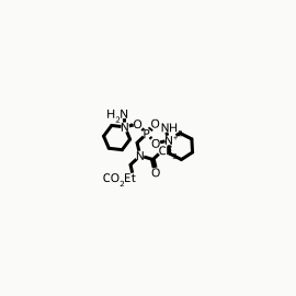 CCOC(=O)CN(CP(=O)(O[N+]1(N)CCCCC1)O[N+]1(N)CCCCC1)C(=O)C(F)(F)F